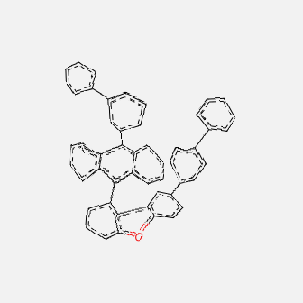 c1ccc(-c2ccc(-c3ccc4oc5cccc(-c6c7ccccc7c(-c7cccc(-c8ccccc8)c7)c7ccccc67)c5c4c3)cc2)cc1